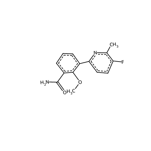 COc1c(C(N)=O)cccc1-c1ccc(F)c(C)n1